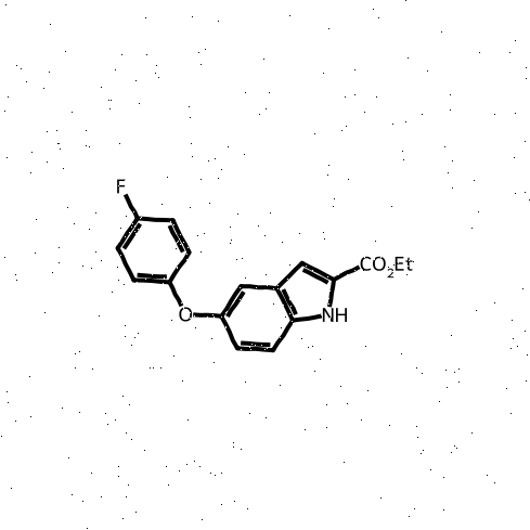 CCOC(=O)c1cc2cc(Oc3ccc(F)cc3)ccc2[nH]1